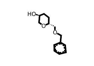 O[C@H]1CC[C@H](COCc2ccccc2)OC1